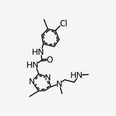 CNCCN(C)c1cc(C)nc(NC(=O)Nc2ccc(Cl)c(C)c2)n1